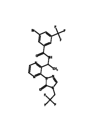 CC(NC(=O)c1cc(Br)cc(C(F)(F)F)c1)c1nccnc1-n1ncn(CC(F)(F)F)c1=O